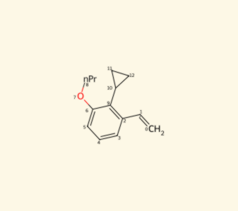 C=[C]c1cccc(OCCC)c1C1CC1